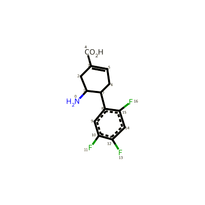 NC1CC(C(=O)O)=CCC1c1cc(F)c(F)cc1F